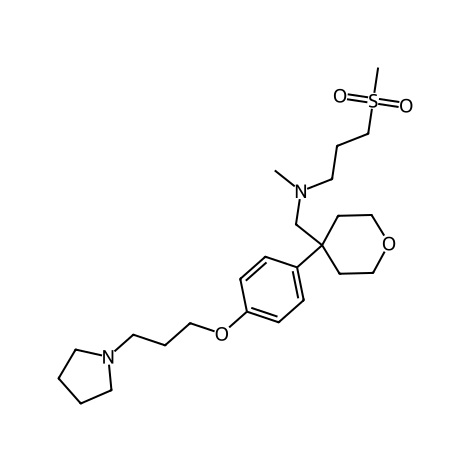 CN(CCCS(C)(=O)=O)CC1(c2ccc(OCCCN3CCCC3)cc2)CCOCC1